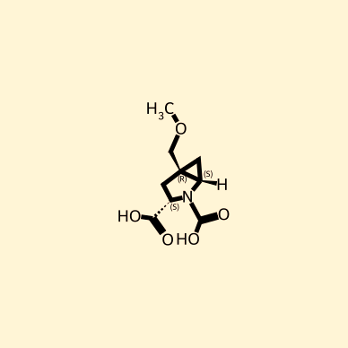 COC[C@@]12C[C@@H]1N(C(=O)O)[C@H](C(=O)O)C2